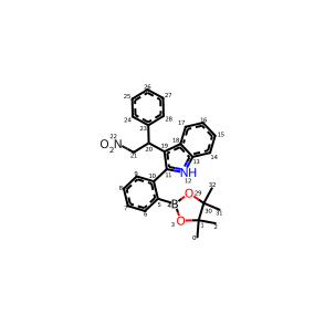 CC1(C)OB(c2ccccc2-c2[nH]c3ccccc3c2C(C[N+](=O)[O-])c2ccccc2)OC1(C)C